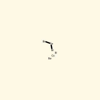 Br[Se]Br.[B].[Ba].[Cs]